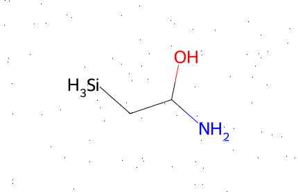 NC(O)C[SiH3]